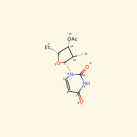 CC[C@H]1O[C@@H](n2ccc(=O)[nH]c2=O)C(F)[C@H]1OC(C)=O